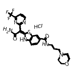 Cl.NC(=O)/C(=C1\Nc2ccc(C(=O)NCCCN3CCOCC3)cc2S1)c1nccc(C(F)(F)F)n1